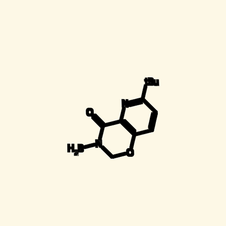 BN1COc2ccc(C(C)(C)C)nc2C1=O